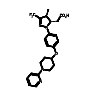 C[C@@H]1C(C(F)(F)F)=NN(c2ccc(OC3CCN(c4ccccn4)CC3)cc2)[C@H]1CC(=O)O